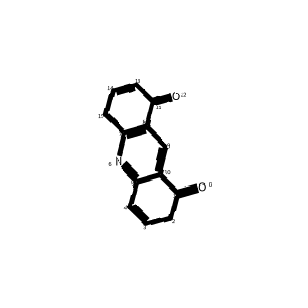 O=C1CC=Cc2nc3c(cc21)C(=O)C=CC3